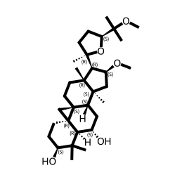 CO[C@H]1C[C@@]2(C)[C@@H]3C[C@H](O)[C@H]4C(C)(C)[C@@H](O)CC[C@@]45C[C@@]35CC[C@]2(C)[C@H]1[C@@]1(C)CC[C@@H](C(C)(C)OC)O1